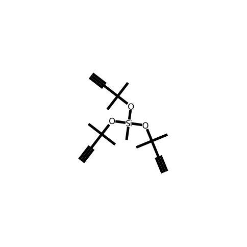 C#CC(C)(C)O[Si](C)(OC(C)(C)C#C)OC(C)(C)C#C